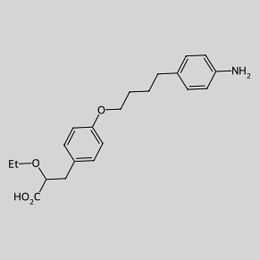 CCOC(Cc1ccc(OCCCCc2ccc(N)cc2)cc1)C(=O)O